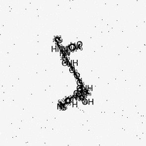 CC(=O)N1CCCN(c2nc(NCCc3cccs3)nc(N(C)CC(=O)NCCOCCOCCOCC(=O)N[C@H](C(=O)N3C[C@H](O)C[C@H]3C(=O)NCc3ccc(-c4scnc4C)cc3)C(C)(C)C)n2)CC1